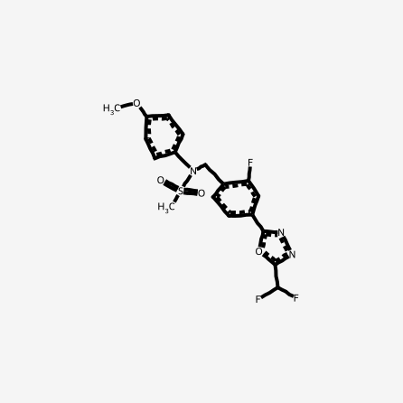 COc1ccc(N(Cc2ccc(-c3nnc(C(F)F)o3)cc2F)S(C)(=O)=O)cc1